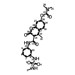 CNS(=O)(=O)Nc1cccc(NC(=O)c2c(C)c3ccc(OC(=O)N(C)C)cc3oc2=O)c1